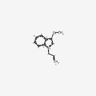 C=CCn1cc(OC)c2ccccc21